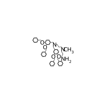 CN(CCCN)CCCN(Cc1ccc(OCc2ccccc2)c(OCc2ccccc2)c1)Cc1ccc(OCc2ccccc2)c(OCc2ccccc2)c1